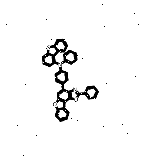 c1ccc(-c2nc3c(-c4ccc(N(c5ccccc5)c5cccc6sc7ccccc7c56)cc4)cc4oc5ccccc5c4c3o2)cc1